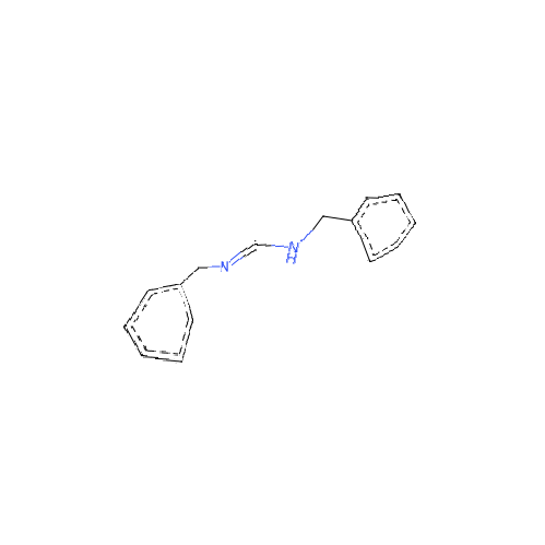 [C](=N\Cc1ccccc1)/NCc1ccccc1